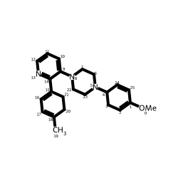 COC1=CCC(N2CCN(c3cccnc3C3=CC=C(C)CC3)CC2)C=C1